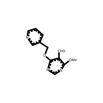 COc1ncnc(OCc2cccnc2)c1C=O